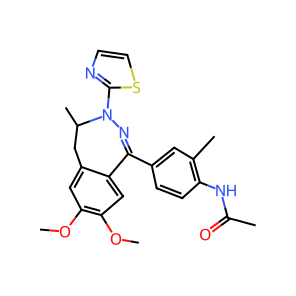 COc1cc2c(cc1OC)C(c1ccc(NC(C)=O)c(C)c1)=NN(c1nccs1)C(C)C2